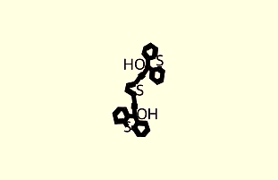 OC1(C#Cc2ccc(C#CC3(O)c4ccccc4Sc4ccccc43)s2)c2ccccc2Sc2ccccc21